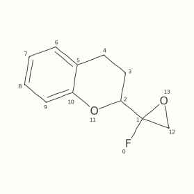 FC1(C2CCc3ccccc3O2)CO1